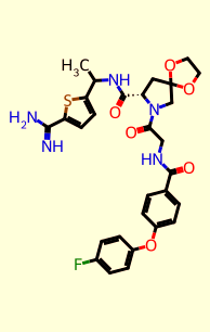 CC(NC(=O)[C@@H]1CC2(CN1C(=O)CNC(=O)c1ccc(Oc3ccc(F)cc3)cc1)OCCO2)c1ccc(C(=N)N)s1